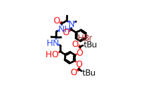 Br.CC(C(=O)NCC(C)(C)NCC(O)c1ccc(OC(=O)C(C)(C)C)c(OC(=O)C(C)(C)C)c1)N(C)C(=O)c1ccccc1